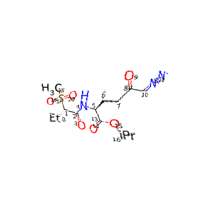 CC[C@@H](C(=O)N[C@@H](CCC(=O)C=[N+]=[N-])C(=O)OC(C)C)S(C)(=O)=O